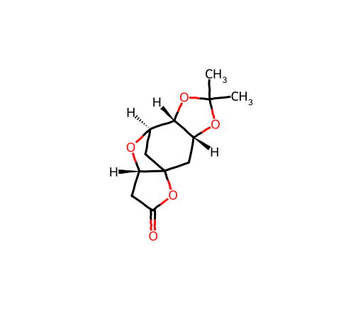 CC1(C)O[C@H]2[C@H]3CC4(C[C@H]2O1)OC(=O)C[C@@H]4O3